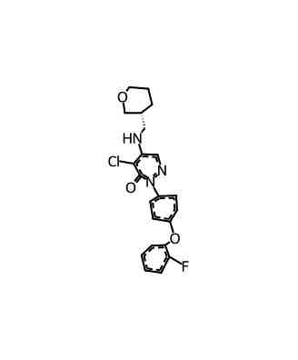 O=c1c(Cl)c(NC[C@H]2CCCOC2)cnn1-c1ccc(Oc2ccccc2F)cc1